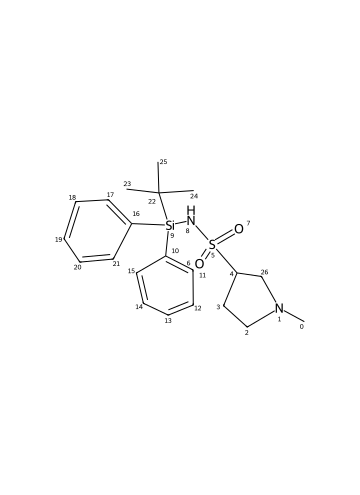 CN1CCC(S(=O)(=O)N[Si](c2ccccc2)(c2ccccc2)C(C)(C)C)C1